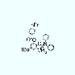 CCCc1ccc(C(=O)Oc2cc(C(C)(C)C)cc(C)c2OC(=O)N(c2ccccc2)c2ccccc2)cc1